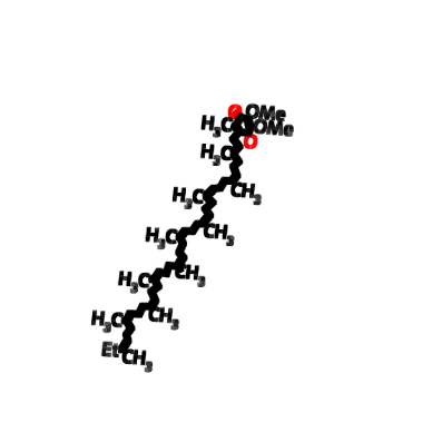 CC/C(C)=C\CC/C(C)=C\CC/C(C)=C\CC/C(C)=C\CC/C(C)=C\CC/C(C)=C\CC/C(C)=C\CC/C(C)=C\CC/C(C)=C\CC/C(C)=C/CC1=C(C)C(=O)C(OC)=C(OC)C1=O